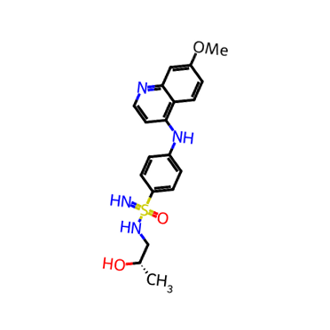 COc1ccc2c(Nc3ccc(S(=N)(=O)NC[C@H](C)O)cc3)ccnc2c1